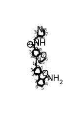 NC(=O)c1ccccc1-c1ccc(CN2CCOc3cc(C(=O)NCc4cccnc4)ccc32)cc1